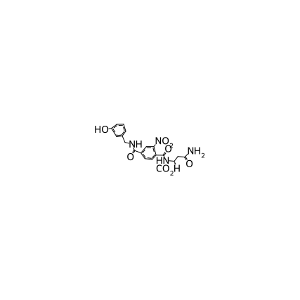 NC(=O)C[C@H](NC(=O)c1ccc(C(=O)NCc2cccc(O)c2)cc1[N+](=O)[O-])C(=O)O